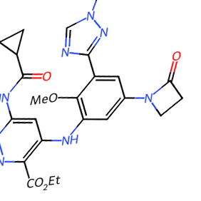 CCOC(=O)c1nnc(NC(=O)C2CC2)cc1Nc1cc(N2CCC2=O)cc(-c2ncn(C)n2)c1OC